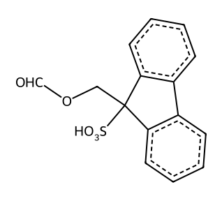 O=COCC1(S(=O)(=O)O)c2ccccc2-c2ccccc21